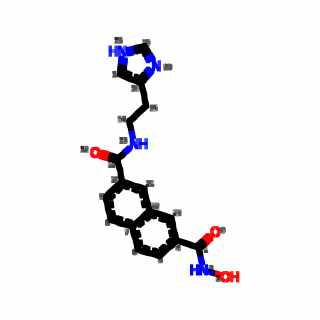 O=C(NO)c1ccc2ccc(C(=O)NCCc3c[nH]cn3)cc2c1